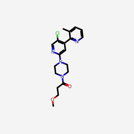 COCCC(=O)N1CCN(c2cc(-c3ncccc3C)c(Cl)cn2)CC1